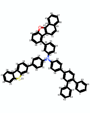 c1ccc(-c2ccc(-c3ccc(N(c4ccc(-c5ccc6c(c5)sc5ccccc56)cc4)c4cccc(-c5cccc6oc7c8ccccc8ccc7c56)c4)cc3)cc2-c2ccccc2)cc1